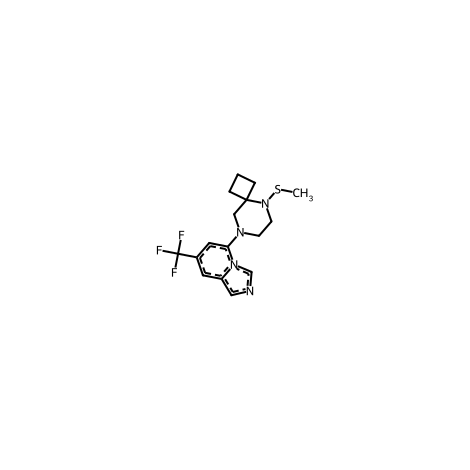 CSN1CCN(c2cc(C(F)(F)F)cc3cncn23)CC12CCC2